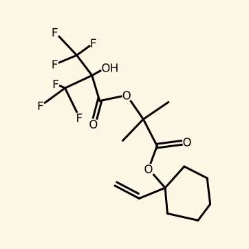 C=CC1(OC(=O)C(C)(C)OC(=O)C(O)(C(F)(F)F)C(F)(F)F)CCCCC1